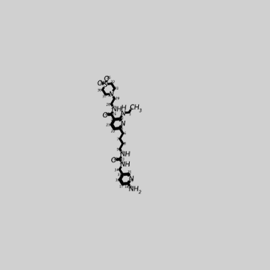 CCNc1nc(CCCCNC(=O)NCc2ccc(N)nc2)ccc1C(=O)NCCN1CCS(=O)(=O)CC1